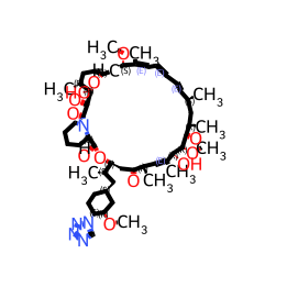 CO[C@H]1C[C@@H]2CC[C@@H](C)[C@@](O)(O2)C(=O)C(=O)N2CCCC[C@H]2C(=O)O[C@H]([C@@H](C)C[C@@H]2CC[C@H](n3cnnn3)[C@H](OC)C2)CC(=O)[C@H](C)/C=C(\C)[C@@H](O)[C@@H](OC)C(=O)[C@H](C)C[C@H](C)/C=C/C=C/C=C/1C